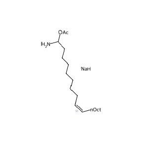 CCCCCCCC/C=C\CCCCCCCC(N)OC(C)=O.[NaH]